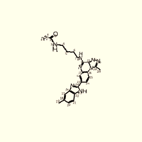 CCCC(=O)NCCCCNc1nc2cc(-c3nc4cc(C)ccc4[nH]3)ccc2n2c(C)nnc12